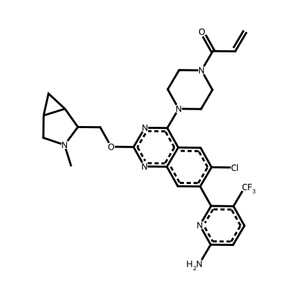 C=CC(=O)N1CCN(c2nc(OCC3C4CC4CN3C)nc3cc(-c4nc(N)ccc4C(F)(F)F)c(Cl)cc23)CC1